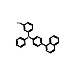 Brc1cccc(N(c2ccccc2)c2ccc(-c3cccc4ccccc34)cc2)c1